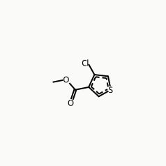 COC(=O)c1cscc1Cl